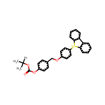 CCC(C)(C)OC(=O)Oc1ccc(COc2ccc([SH]3c4ccccc4-c4ccccc43)cc2)cc1